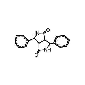 O=C1NC(c2ccccc2)C2C(=O)NC(c3ccccc3)C12